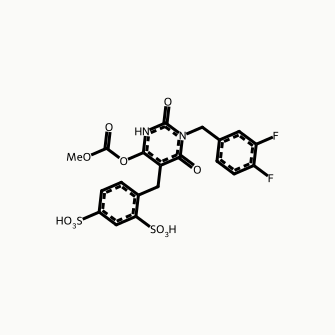 COC(=O)Oc1[nH]c(=O)n(Cc2ccc(F)c(F)c2)c(=O)c1Cc1ccc(S(=O)(=O)O)cc1S(=O)(=O)O